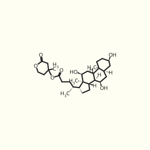 C[C@H](CCC(=O)OC1(C)CCOC(=O)C1)[C@H]1CC[C@H]2[C@@H]3[C@H](O)C[C@@H]4C[C@H](O)CC[C@]4(C)[C@H]3C[C@H](O)[C@]12C